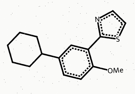 COc1ccc(C2CCCCC2)cc1-c1nccs1